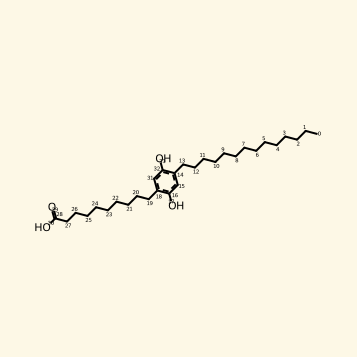 CCCCCCCCCCCCCCc1cc(O)c(CCCCCCCCCC(=O)O)cc1O